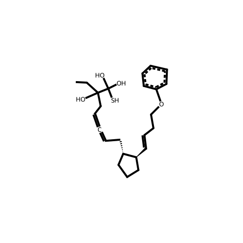 CCC(O)(CC=C=CC[C@H]1CCC[C@@H]1/C=C/CCOc1ccccc1)C(O)(O)S